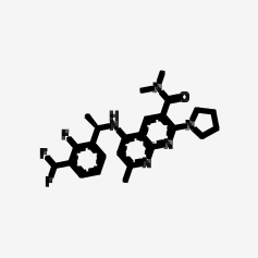 Cc1cc(N[C@H](C)c2cccc(C(F)F)c2F)c2cc(C(=O)N(C)C)c(N3CCCC3)nc2n1